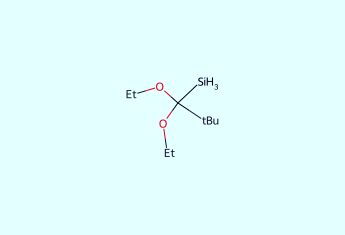 CCOC([SiH3])(OCC)C(C)(C)C